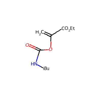 C=C(OC(=O)NC(C)CC)C(=O)OCC